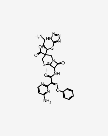 NCCC(Sc1nnn[nH]1)C1(C(=O)O)CS[C@@H]2C(NC(=O)C(=NOc3ccccc3)c3nccc(N)n3)C(=O)N2C1